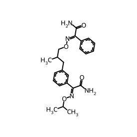 CC(CO/N=C(/C(N)=O)c1ccccc1)Cc1cccc(/C(=N\OC(C)C)C(N)=O)c1